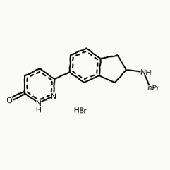 Br.CCCNC1Cc2ccc(-c3ccc(=O)[nH]n3)cc2C1